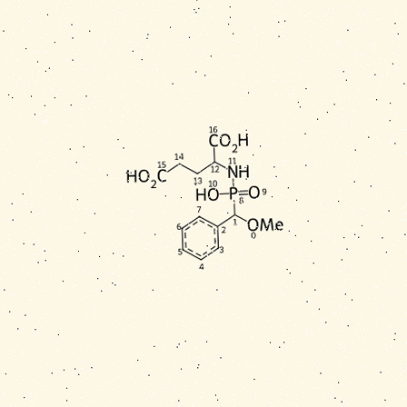 COC(c1ccccc1)P(=O)(O)NC(CCC(=O)O)C(=O)O